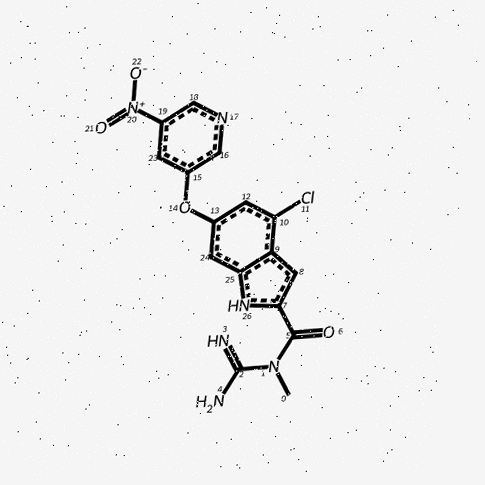 CN(C(=N)N)C(=O)c1cc2c(Cl)cc(Oc3cncc([N+](=O)[O-])c3)cc2[nH]1